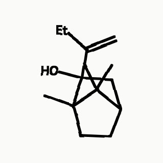 C=C(CC)C1(O)CC2CCC1(C)C2(C)C